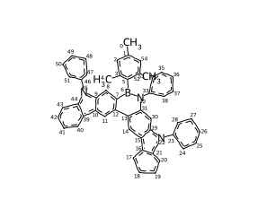 Cc1cc(C)c(B2c3cc4c(cc3-c3cc5c6ccccc6n(-c6ccccc6)c5cc3N2c2ccccc2)c2ccccc2n4-c2ccccc2)c(C)c1